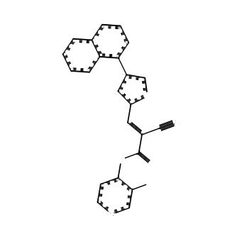 N#C/C(=C\c1cc(-c2cccc3ccccc23)cs1)C(=O)Nc1ccncc1Cl